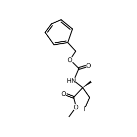 COC(=O)[C@@](C)(CI)NC(=O)OCc1ccccc1